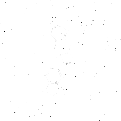 CN1Cc2ccccc2CC1(C)C(=O)c1ccc2c(c1)OCO2